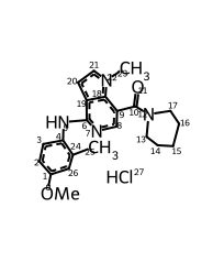 COc1ccc(Nc2ncc(C(=O)N3CCCCC3)c3c2ccn3C)c(C)c1.Cl